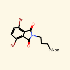 CCCCCCCCCCCCN1C(=O)c2c(Br)ccc(Br)c2C1=O